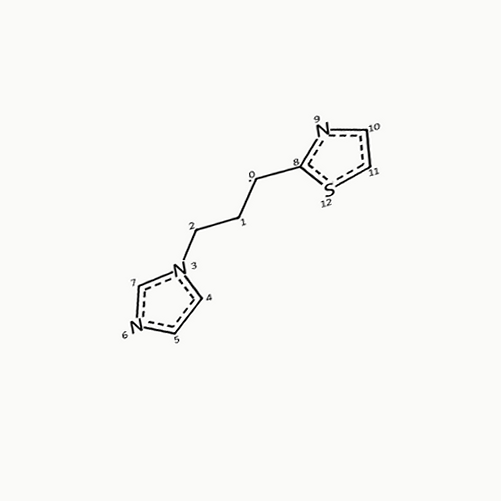 [CH](CCn1ccnc1)c1nccs1